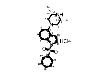 C[C@@H]1CN(c2cccc3c2ccn3S(=O)(=O)c2ccccc2)C[C@H](C)N1.Cl